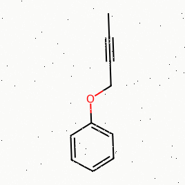 CC#CCOc1ccccc1